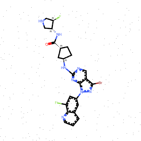 O=C(N[C@@H]1CNC[C@H]1F)[C@@H]1CC[C@@H](Nc2ncc3c(Br)nn(-c4cc(F)c5ncccc5c4)c3n2)C1